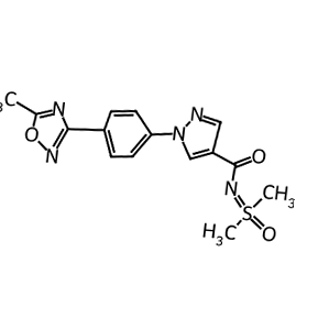 CS(C)(=O)=NC(=O)c1cnn(-c2ccc(-c3noc(C(F)(F)F)n3)cc2)c1